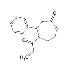 C=CC(=O)N1CCNC(=O)CC1c1ccccc1